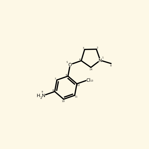 CN1CCC(Oc2cc(N)ccc2Cl)C1